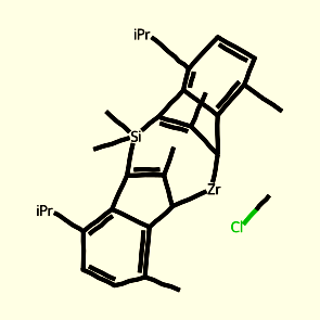 CC1=C2c3c(C(C)C)ccc(C)c3[CH]1[Zr][CH]1C(C)=C(c3c(C(C)C)ccc(C)c31)[Si]2(C)C.CCl